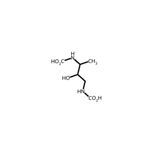 CC(NC(=O)O)C(O)CNC(=O)O